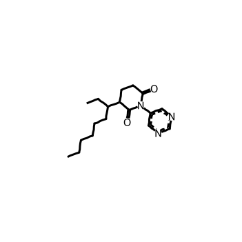 CCCCCCC(CC)C1CCC(=O)N(c2cncnc2)C1=O